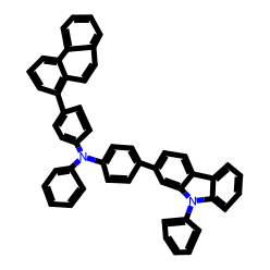 c1ccc(N(c2ccc(-c3ccc4c5ccccc5n(-c5ccccc5)c4c3)cc2)c2ccc(-c3cccc4c3ccc3ccccc34)cc2)cc1